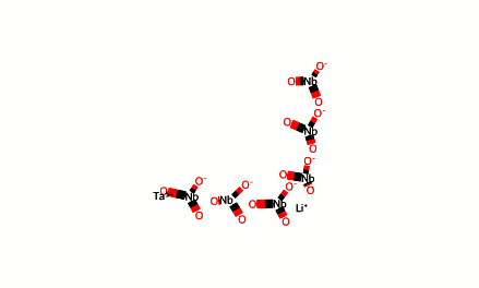 [Li+].[O]=[Nb](=[O])[O-].[O]=[Nb](=[O])[O-].[O]=[Nb](=[O])[O-].[O]=[Nb](=[O])[O-].[O]=[Nb](=[O])[O-].[O]=[Nb](=[O])[O-].[Ta+5]